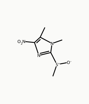 Cc1c([N+](=O)[O-])nc([S+](C)[O-])n1C